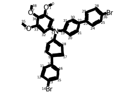 COc1cc(N(c2ccc(-c3ccc(Br)cc3)cc2)c2ccc(-c3ccc(Br)cc3)cc2)cc(OC)c1OC